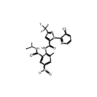 Cc1cc([N+](=O)[O-])cc(C(=O)NC(C)C)c1NC(=O)c1cc(C(F)(F)F)nn1-c1ncccc1Cl